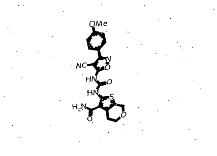 COc1ccc(-c2noc(NC(=O)Nc3sc4c(c3C(N)=O)CCOC4)c2C#N)cc1